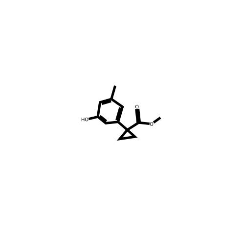 COC(=O)C1(c2cc(C)cc(O)c2)CC1